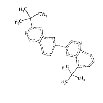 CC(C)(C)c1cc2cc(-c3cnc4cccc(C(C)(C)C)c4c3)ccc2cn1